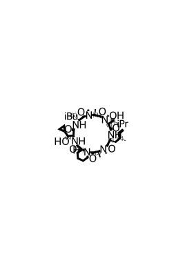 C=C[C@H](C)C[C@@H]1NC(=O)[C@H]([C@H](O)C(C)C)N(C)C(=O)[C@H](C)N(C)C(=O)C([C@@H](C)CC)NC(=O)C([C@H](O)C2CC2)NC(=O)[C@H]2CCCCN2C(=O)[C@H](C)N(C)C1=O